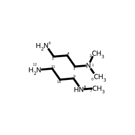 CN(C)CCCN.CNCCCN